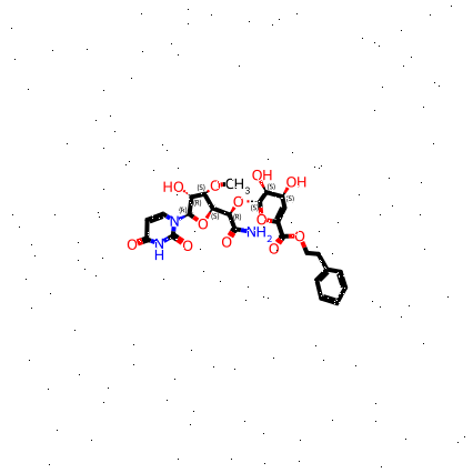 CO[C@H]1[C@@H](O)[C@H](n2ccc(=O)[nH]c2=O)O[C@@H]1[C@@H](O[C@H]1OC(C(=O)OCCc2ccccc2)=C[C@H](O)[C@@H]1O)C(N)=O